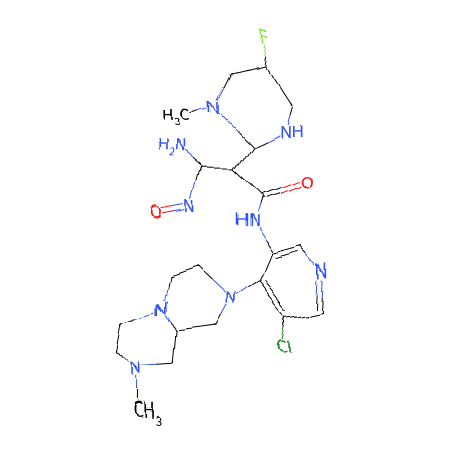 CN1CCN2CCN(c3c(Cl)cncc3NC(=O)C(C(N)N=O)C3NCC(F)CN3C)CC2C1